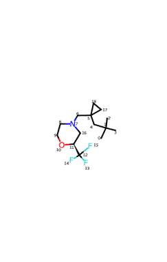 CC(C)(C)CC1(CN2CCO[C@H](C(F)(F)F)C2)CC1